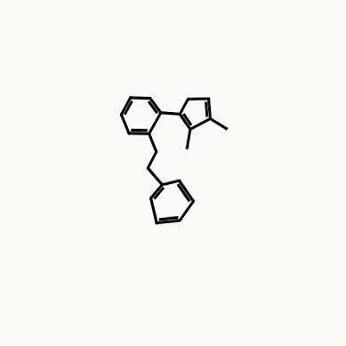 CC1=CCC(c2ccccc2CCc2ccccc2)=C1C